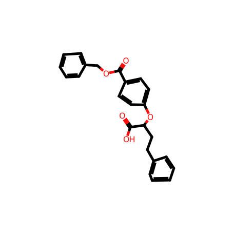 O=C(OCc1ccccc1)c1ccc(OC(CCc2ccccc2)C(=O)O)cc1